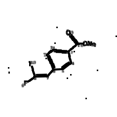 COC(=O)c1ccc(C=C(F)F)cc1